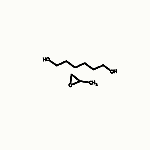 CC1CO1.OCCCCCCO